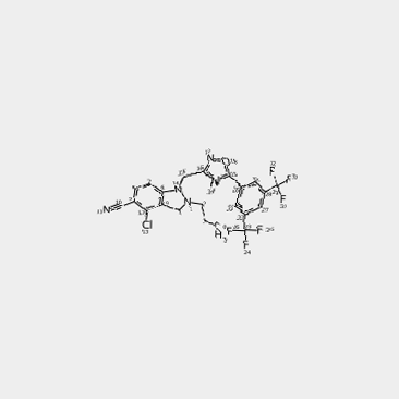 CCCN1Cc2c(ccc(C#N)c2Cl)N1Cc1noc(-c2cc(C(F)(F)F)cc(C(F)(F)F)c2)n1